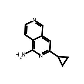 Nc1nc(C2CC2)cc2cnccc12